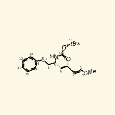 CO/C=C/CC[C@H](CSc1ccccc1)NC(=O)OC(C)(C)C